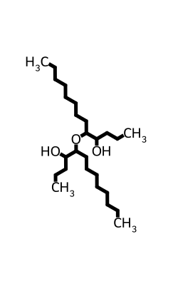 CCCCCCCCC(OC(CCCCCCCC)C(O)CCC)C(O)CCC